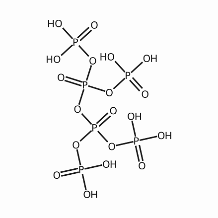 O=P(O)(O)OP(=O)(OP(=O)(O)O)OP(=O)(OP(=O)(O)O)OP(=O)(O)O